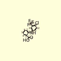 O=C(O)c1ccccc1Nc1ccc(Cl)c(C(F)(F)F)c1